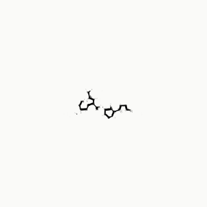 COc1ccn2c(C(C)=O)cc(C(=O)Nc3cccc(-c4ccc(C)o4)c3F)c2c1